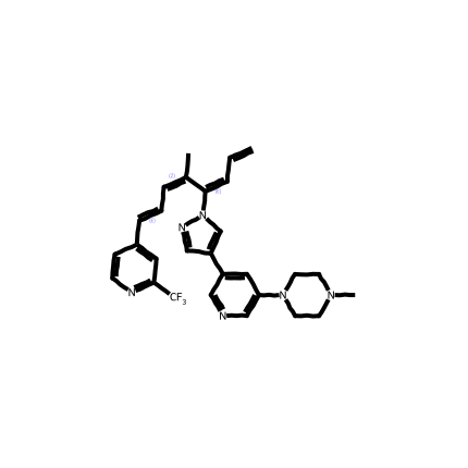 C=C\C=C(/C(C)=C\C=C\c1ccnc(C(F)(F)F)c1)n1cc(-c2cncc(N3CCN(C)CC3)c2)cn1